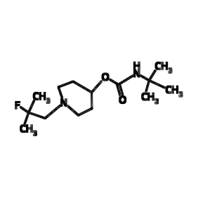 CC(C)(F)CN1CCC(OC(=O)NC(C)(C)C)CC1